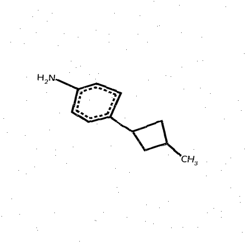 CC1CC(c2ccc(N)cc2)C1